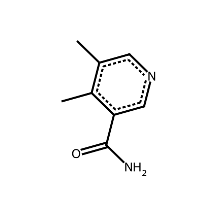 Cc1cncc(C(N)=O)c1C